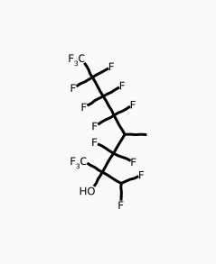 CC(C(F)(F)C(F)(F)C(F)(F)C(F)(F)F)C(F)(F)C(O)(C(F)F)C(F)(F)F